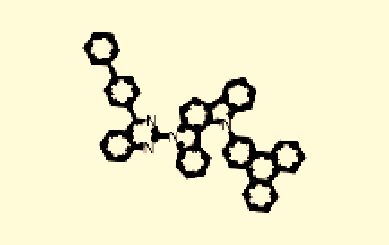 c1ccc(-c2ccc(-c3nc(-n4c5ccccc5c5c4ccc4c6ccccc6n(-c6ccc7c8ccccc8c8ccccc8c7c6)c45)nc4ccccc34)cc2)cc1